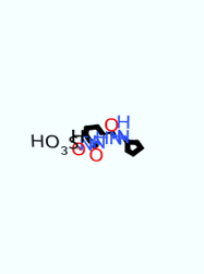 O=C(NNC1CCCC1)[C@@H]1CC[C@@H]2CN1C(=O)N2OS(=O)(=O)O